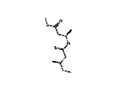 CC[C@@H](C)CC(=O)O[C@H](C)CC(=O)OC